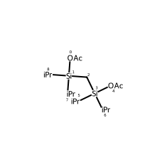 CC(=O)O[Si](C[Si](OC(C)=O)(C(C)C)C(C)C)(C(C)C)C(C)C